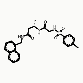 Cc1ccc(S(=O)(=O)NCC(=O)N[C@@H](C)CC(=O)NCc2cccc3ccccc23)cc1